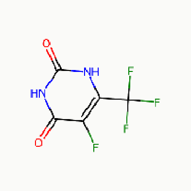 O=c1[nH]c(C(F)(F)F)c(F)c(=O)[nH]1